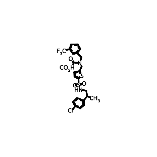 CC(CNS(=O)(=O)c1ccc(CN(Cc2cccc(C(F)(F)F)c2)C(=O)C(=O)O)s1)c1ccc(Cl)cc1